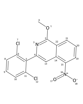 COc1nc(-c2c(Cl)cccc2Cl)cc2c([N+](=O)[O-])cccc12